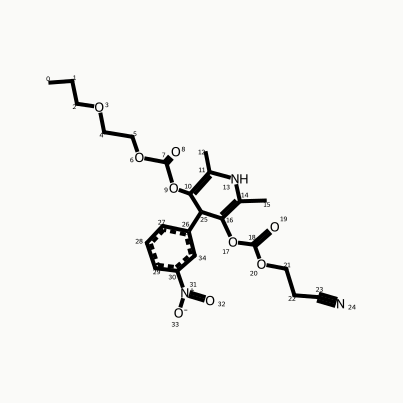 CCCOCCOC(=O)OC1=C(C)NC(C)=C(OC(=O)OCCC#N)C1c1cccc([N+](=O)[O-])c1